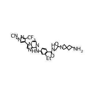 CCc1cc(Nc2nccn3c(-c4cn(CC#N)nc4C(F)(F)F)cnc23)ccc1C(=O)NCC(=O)N1CC2(CC(N)C2)C1